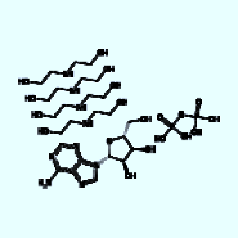 Nc1ncnc2c1ncn2[C@@H]1O[C@H](CO)[C@@H](O)[C@H]1O.O=P(O)(O)OP(=O)(O)O.OCCNCCO.OCCNCCO.OCCNCCO.OCCNCCO